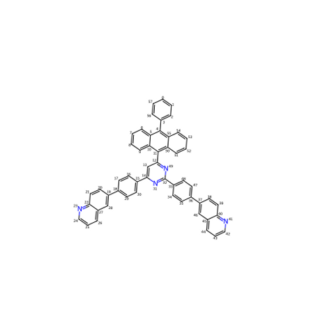 c1ccc(-c2c3ccccc3c(-c3cc(-c4ccc(-c5ccc6ncccc6c5)cc4)nc(-c4ccc(-c5ccc6ncccc6c5)cc4)n3)c3ccccc23)cc1